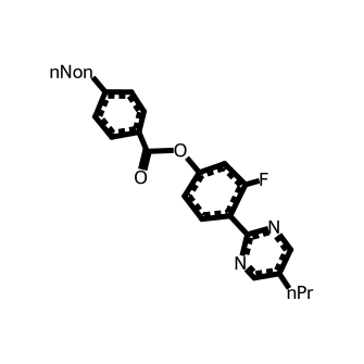 CCCCCCCCCc1ccc(C(=O)Oc2ccc(-c3ncc(CCC)cn3)c(F)c2)cc1